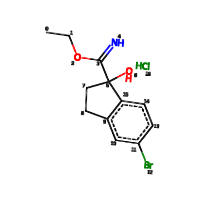 CCOC(=N)C1(O)CCc2cc(Br)ccc21.Cl